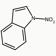 O=[N+]([O-])n1[c]cc2ccccc21